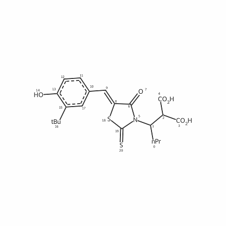 CCCC(C(C(=O)O)C(=O)O)N1C(=O)C(=Cc2ccc(O)c(C(C)(C)C)c2)SC1=S